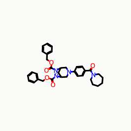 O=C(c1ccc(N2CC3CC(C2)N(C(=O)OCc2ccccc2)N3C(=O)OCc2ccccc2)cc1)N1CCCCCC1